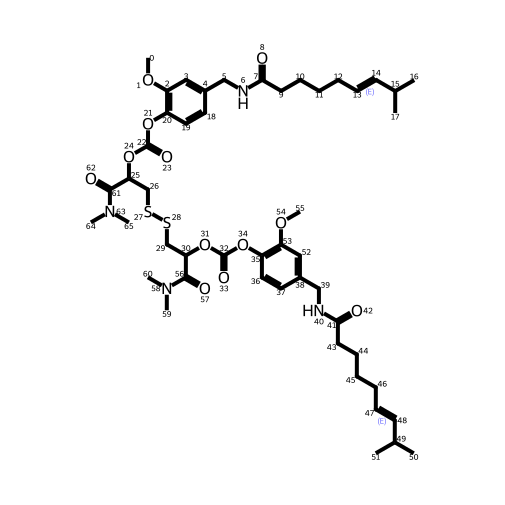 COc1cc(CNC(=O)CCCC/C=C/C(C)C)ccc1OC(=O)OC(CSSCC(OC(=O)Oc1ccc(CNC(=O)CCCC/C=C/C(C)C)cc1OC)C(=O)N(C)C)C(=O)N(C)C